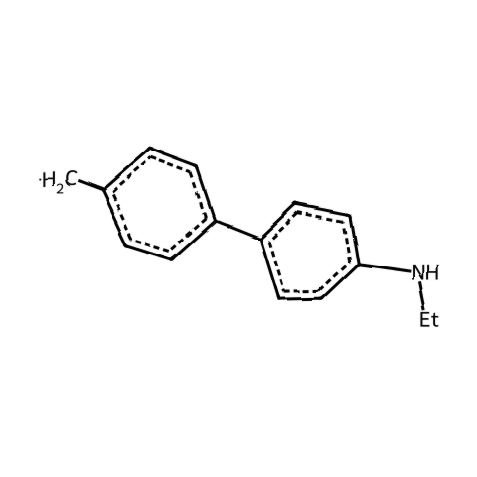 [CH2]c1ccc(-c2ccc(NCC)cc2)cc1